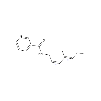 CC/C=C(C)/C=C\CNC(=O)c1cccnc1